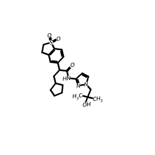 CC(C)(O)Cn1ccc(NC(=O)C(CC2CCCC2)c2ccc3c(c2)CCS3(=O)=O)n1